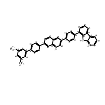 Cc1cc(-c2ccc(-c3ccc4cc(-c5ccc(-c6cccc7c6oc6ncccc67)cc5)cnc4c3)cc2)cc(C(F)(F)F)c1